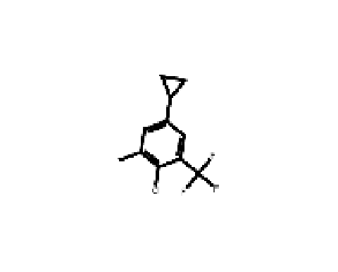 Cc1cc(C2CC2)cc(C(F)(F)F)c1Cl